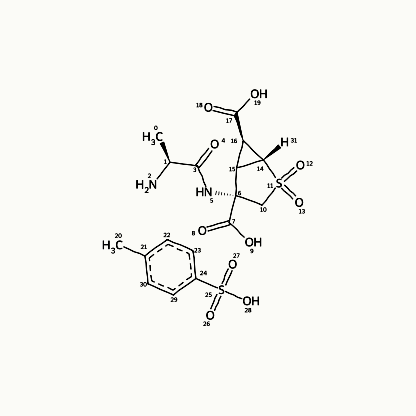 C[C@H](N)C(=O)N[C@@]1(C(=O)O)CS(=O)(=O)[C@@H]2C1[C@H]2C(=O)O.Cc1ccc(S(=O)(=O)O)cc1